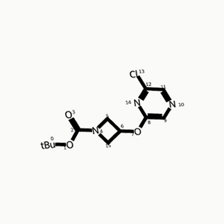 CC(C)(C)OC(=O)N1CC(Oc2cncc(Cl)n2)C1